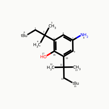 CC(C)(C)CC(C)(C)c1cc(N)cc(C(C)(C)CC(C)(C)C)c1O